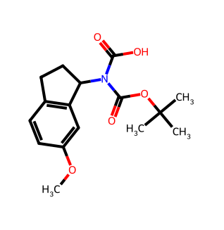 COc1ccc2c(c1)C(N(C(=O)O)C(=O)OC(C)(C)C)CC2